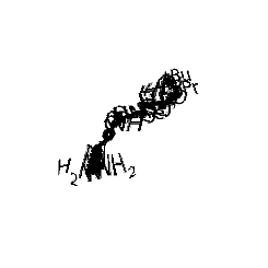 COC(=O)[C@H](CCCNC(=O)c1ccc(NC(=O)[C@H](C)NC(=O)[C@@H](NC(=O)OC(C)(C)C)C(C)C)s1)NC(=O)c1ccc(CCc2cnc3nc(N)nc(N)c3n2)cc1